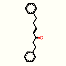 O=C(C=CCCc1ccccc1)CCc1ccccc1